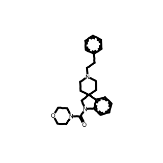 O=C(N1CCOCC1)N1CC2(CCN(CCc3ccccc3)CC2)c2ccccc21